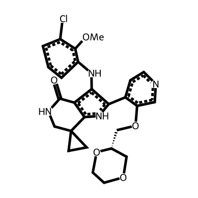 COc1c(Cl)cccc1Nc1c(-c2ccncc2OC[C@@H]2COCCO2)[nH]c2c1C(=O)NCC21CC1